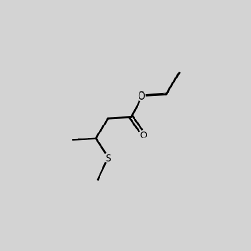 CCOC(=O)CC(C)SC